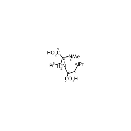 CC(C)C[C@H](N)C(=O)O.CN[C@@H](CC(C)C)C(=O)O